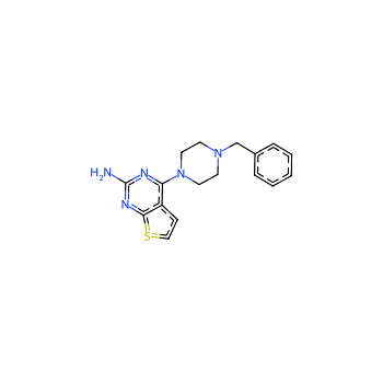 Nc1nc(N2CCN(Cc3ccccc3)CC2)c2ccsc2n1